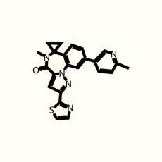 Cc1ccc(-c2ccc3c(c2)-n2nc(-c4nccs4)cc2C(=O)N(C)C32CC2)cn1